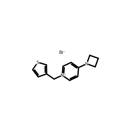 [Br-].c1cc(C[n+]2ccc(N3CCC3)cc2)cs1